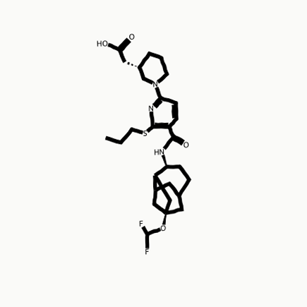 CCCSc1nc(N2CCC[C@@H](CC(=O)O)C2)ccc1C(=O)N[C@H]1CCC2CC3C[C@@](OC(F)F)(C2)CC31